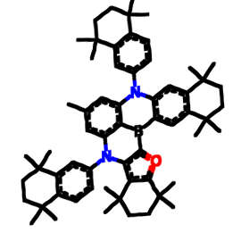 Cc1cc2c3c(c1)N(c1ccc4c(c1)C(C)(C)CCC4(C)C)c1c(oc4c1C(C)(C)CCC4(C)C)B3c1cc3c(cc1N2c1ccc2c(c1)C(C)(C)CCC2(C)C)C(C)(C)CCC3(C)C